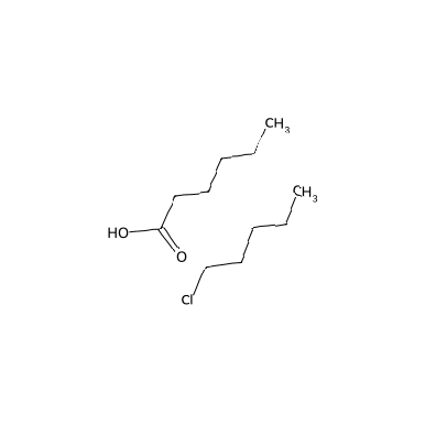 CCCCCC(=O)O.CCCCCCl